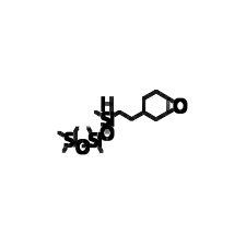 C[SiH](CCC1CCC2OC2C1)O[Si](C)(C)O[Si](C)(C)C